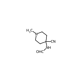 CN1CCC(C#N)(NC=O)CC1